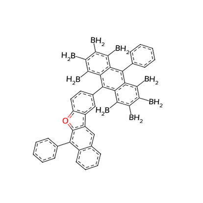 Bc1c(B)c(B)c2c(-c3ccc4oc5c(-c6ccccc6)c6ccccc6cc5c4c3)c3c(B)c(B)c(B)c(B)c3c(-c3ccccc3)c2c1B